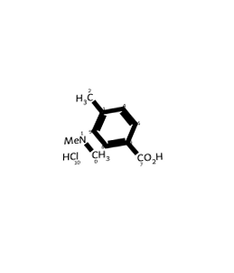 CNC.Cc1ccc(C(=O)O)cc1.Cl